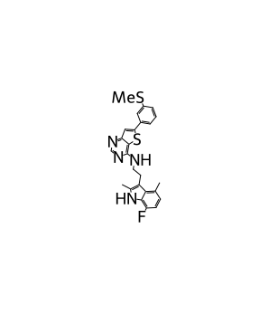 CSc1cccc(-c2cc3ncnc(NCCc4c(C)[nH]c5c(F)ccc(C)c45)c3s2)c1